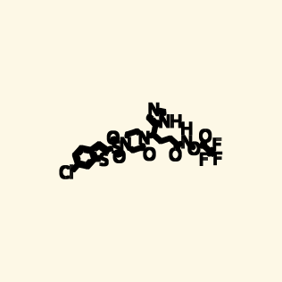 O=C(CCC(c1cnc[nH]1)N1CCN(S(=O)(=O)c2cc3ccc(Cl)cc3s2)CC1=O)NOC(=O)C(F)(F)F